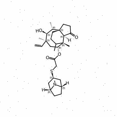 C=C[C@]1(C)C[C@@H](OC(=O)CS[C@@H]2C[C@H]3CC[C@@H](C2)N3C)[C@]2(C)C(C)CC[C@]3(CCC(=O)[C@H]32)[C@@H](C)[C@@H]1O